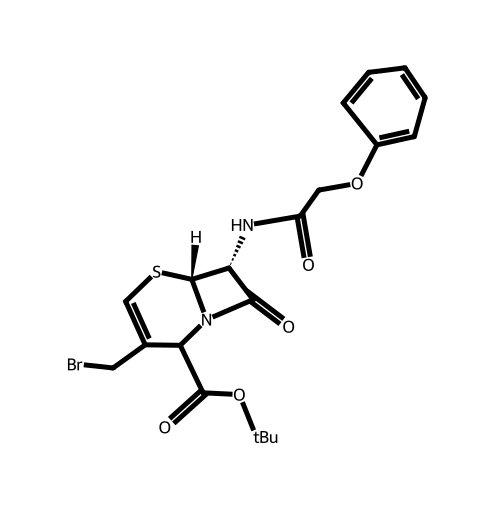 CC(C)(C)OC(=O)C1C(CBr)=CS[C@@H]2[C@H](NC(=O)COc3ccccc3)C(=O)N12